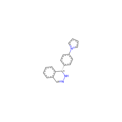 C1=NN[C@@H](c2ccc(-n3cccc3)cc2)c2ccccc21